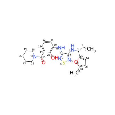 CC[C@@H](Nc1nsnc1Nc1cccc(C(=O)N2CCCCC2)c1O)c1ccc(C)o1